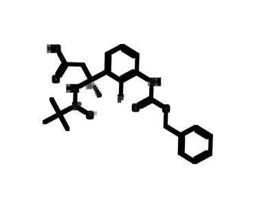 CC(C)(C)[S+]([O-])N[C@@](C)(CC(=O)O)c1cccc(NC(=O)OCc2ccccc2)c1F